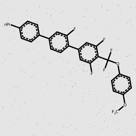 CCCc1ccc(-c2ccc(-c3cc(F)c(C(F)(F)Oc4ccc(OC(F)(F)F)cc4)c(F)c3)c(F)c2)cc1